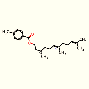 CC(C)=CCC/C(C)=C/CC[C@H](C)CCOC(=O)c1ccc(C)cc1